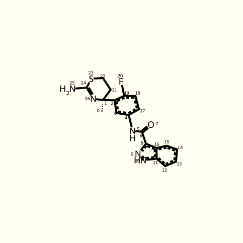 C[C@@]1(c2cc(NC(=O)c3n[nH]c4ccccc34)ccc2F)CCSC(N)=N1